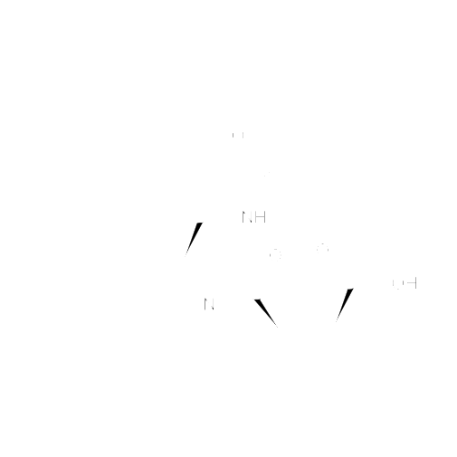 O=C(Cc1ccccc1)NC[C@@H]1c2ccccc2CCN1C(=O)[C@@H]1CCCC[C@@H]1C(=O)O